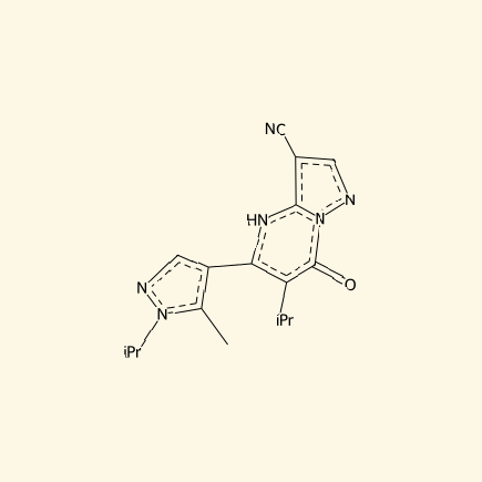 Cc1c(-c2[nH]c3c(C#N)cnn3c(=O)c2C(C)C)cnn1C(C)C